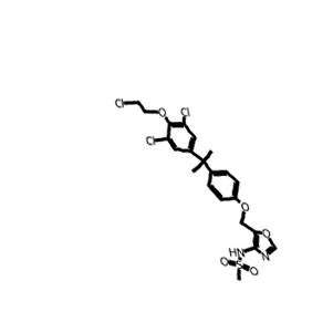 CC(C)(c1ccc(OCc2ocnc2NS(C)(=O)=O)cc1)c1cc(Cl)c(OCCCl)c(Cl)c1